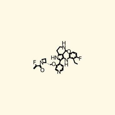 C=C(F)C(=O)N1CC[C@@H]1COc1cnccc1-c1[nH]c2c(c1Nc1cccc(F)c1CC)C(=O)NCC2